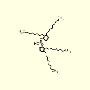 CCCCCCCCCc1cccc(OP(O)Oc2cccc(CCCCCCCCC)c2CCCCCCCCC)c1CCCCCCCCC